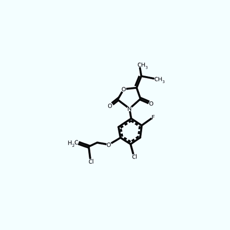 C=C(Cl)COc1cc(N2C(=O)OC(=C(C)C)C2=O)c(F)cc1Cl